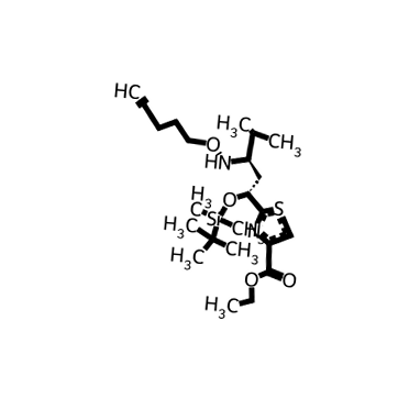 C#CCCCON[C@H](C[C@@H](O[Si](C)(C)C(C)(C)C)c1nc(C(=O)OCC)cs1)C(C)C